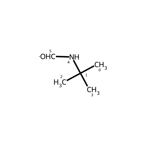 CC(C)(C)N[C]=O